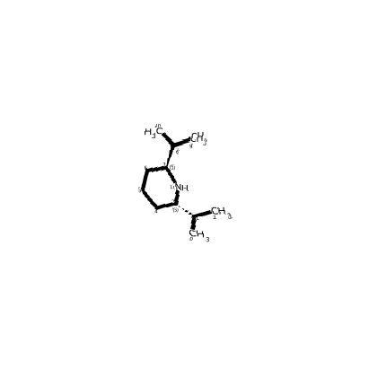 CC(C)[C@@H]1CCC[C@@H](C(C)C)N1